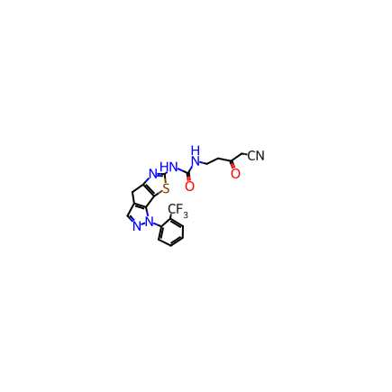 N#CCC(=O)CCNC(=O)Nc1nc2c(s1)-c1c(cnn1-c1ccccc1C(F)(F)F)C2